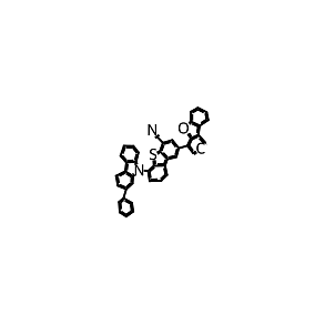 N#Cc1cc(-c2cccc3c2oc2ccccc23)cc2c1sc1c(-n3c4ccccc4c4ccc(-c5ccccc5)cc43)cccc12